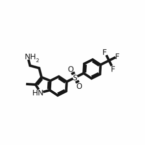 Cc1[nH]c2ccc(S(=O)(=O)c3ccc(C(F)(F)F)cc3)cc2c1CCN